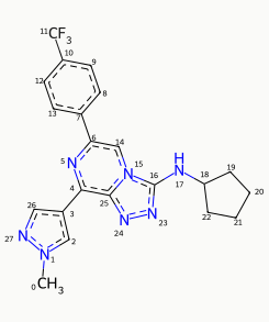 Cn1cc(-c2nc(-c3ccc(C(F)(F)F)cc3)cn3c(NC4CCCC4)nnc23)cn1